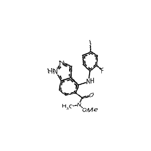 CON(C)C(=O)c1ccc2[nH]ncc2c1Nc1ccc(I)cc1F